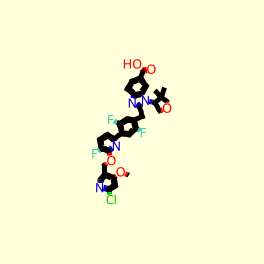 COc1cc(Cl)ncc1COc1nc(-c2cc(F)c(Cc3nc4ccc(C(=O)O)cc4n3C3COCC3(C)C)cc2F)ccc1F